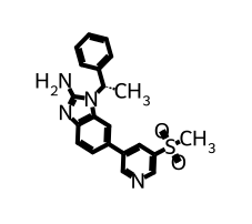 C[C@@H](c1ccccc1)n1c(N)nc2ccc(-c3cncc(S(C)(=O)=O)c3)cc21